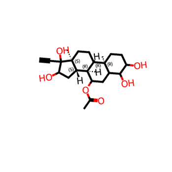 C#CC1(O)C(O)C[C@H]2[C@@H]3C(OC(C)=O)CC4C(O)C(O)CC[C@]4(C)[C@@H]3CC[C@@]21C